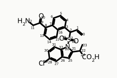 C=CC(c1cccc2c(C(=O)CN)cccc12)S(=O)(=O)n1c(C(C)C(=O)O)cc2cc(Cl)ccc21